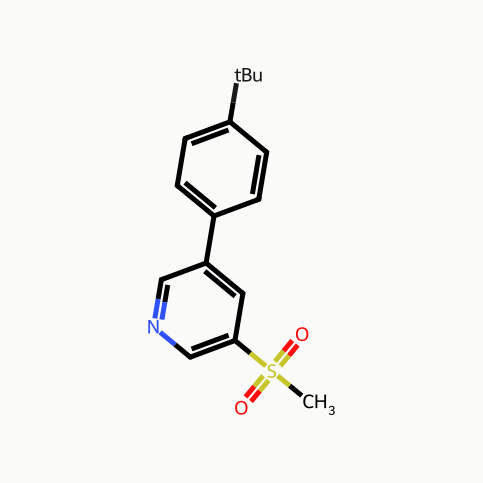 CC(C)(C)c1ccc(-c2cncc(S(C)(=O)=O)c2)cc1